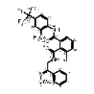 CO/N=C(/CNC(=O)c1c(I)cccc1C(=O)Nc1ccc(C(F)(C(F)(F)F)C(F)(F)F)cc1C)c1ccccc1